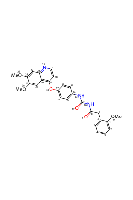 COc1ccccc1CC(=O)NC(=O)Nc1ccc(Oc2ccnc3cc(OC)c(OC)cc23)cc1